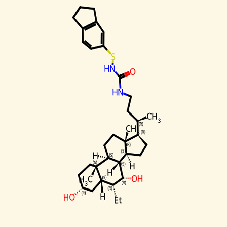 CC[C@H]1[C@@H](O)[C@@H]2[C@H](CC[C@]3(C)[C@@H]([C@H](C)CCNC(=O)NSc4ccc5c(c4)CCC5)CC[C@@H]23)[C@@]2(C)CC[C@@H](O)C[C@@H]12